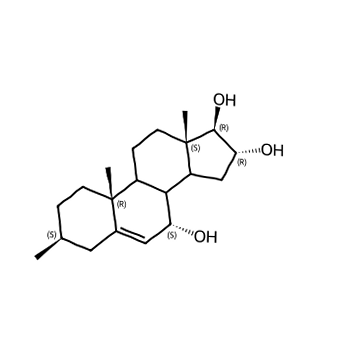 C[C@H]1CC[C@@]2(C)C(=C[C@@H](O)C3C2CC[C@@]2(C)C3C[C@@H](O)[C@@H]2O)C1